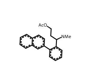 CNC(CCOC(C)=O)c1ccccc1-c1ccc2ccccc2c1